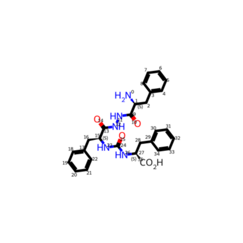 N[C@@H](Cc1ccccc1)C(=O)NNC(=O)[C@H](Cc1ccccc1)NC(=O)N[C@@H](Cc1ccccc1)C(=O)O